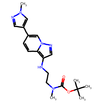 CN(CCNc1cnn2cc(-c3cnn(C)c3)ccc12)C(=O)OC(C)(C)C